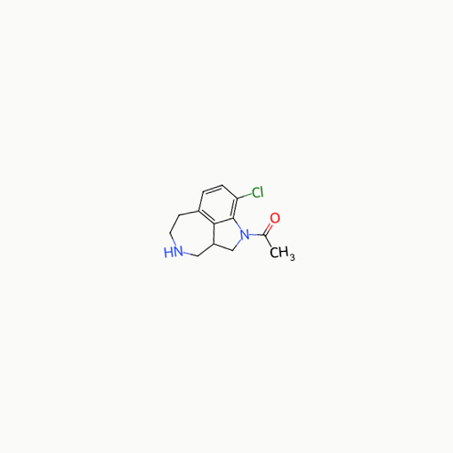 CC(=O)N1CC2CNCCc3ccc(Cl)c1c32